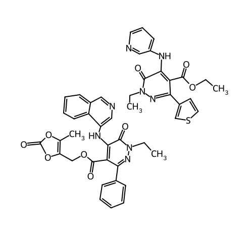 CCOC(=O)c1c(-c2ccsc2)nn(CC)c(=O)c1Nc1cccnc1.CCn1nc(-c2ccccc2)c(C(=O)OCc2oc(=O)oc2C)c(Nc2cncc3ccccc23)c1=O